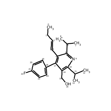 CCC=Cc1c(C(C)C)nc(C(C)C)c(CO)c1-c1ccc(F)cc1